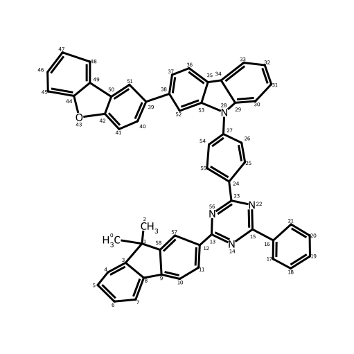 CC1(C)c2ccccc2-c2ccc(-c3nc(-c4ccccc4)nc(-c4ccc(-n5c6ccccc6c6ccc(-c7ccc8oc9ccccc9c8c7)cc65)cc4)n3)cc21